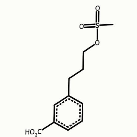 CS(=O)(=O)OCCCc1cccc(C(=O)O)c1